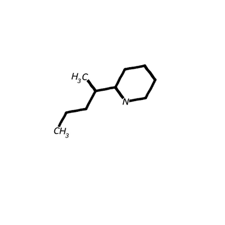 CCCC(C)C1CCCC[N]1